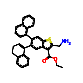 CCOC(=O)c1c(CN)sc2cc(-c3cccc4ccccc34)c(C3=CCCc4ccccc43)cc12